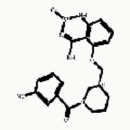 N#Cc1cccc(C(=O)N2CCC[C@H](COc3cccc4c3C(N)=N[S+]([O-])N4)C2)c1